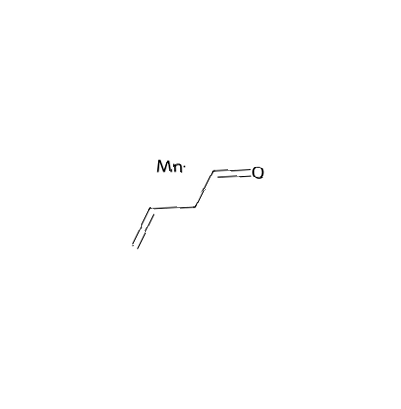 C=CCC=O.[Mn]